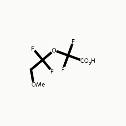 COCC(F)(F)OC(F)(F)C(=O)O